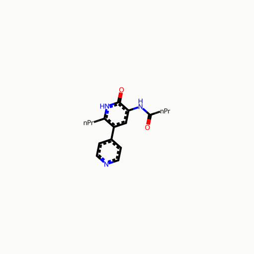 CCCC(=O)Nc1cc(-c2ccncc2)c(CCC)[nH]c1=O